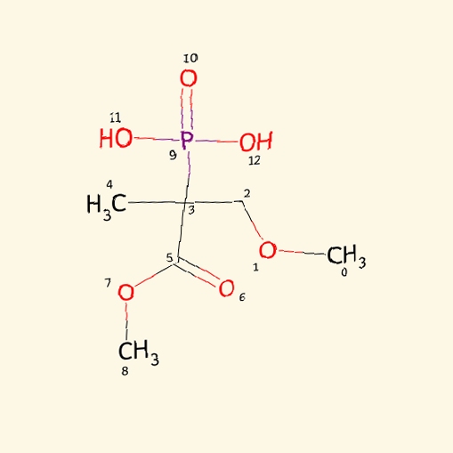 COCC(C)(C(=O)OC)P(=O)(O)O